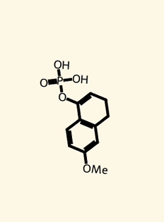 COc1ccc2c(c1)CCC=C2OP(=O)(O)O